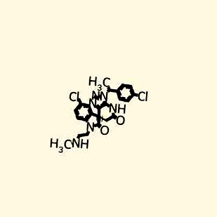 CNCCN1C(=O)[C@]2(CC(=O)Nc3c2nnn3C(C)c2ccc(Cl)cc2)c2cc(Cl)ccc21